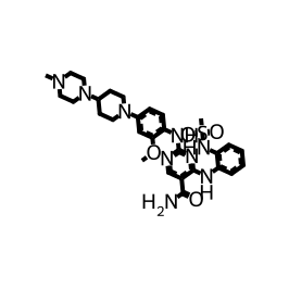 COc1cc(N2CCC(N3CCN(C)CC3)CC2)ccc1Nc1ncc(C(N)=O)c(Nc2ccccc2NS(C)(=O)=O)n1